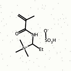 C=C(C)C(=O)NC(CC)[N+](C)(C)C.O=S(=O)([O-])O